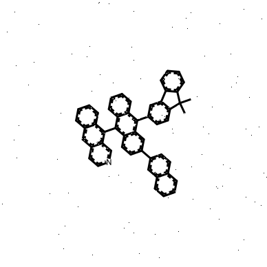 CC1(C)c2ccccc2-c2cc(-c3c4ccccc4c(-c4c5ccccc5cc5ccncc45)c4ccc(-c5ccc6ccccc6c5)cc34)ccc21